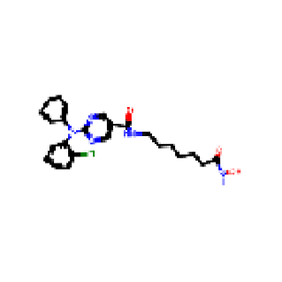 O=C(CCCCCCNC(=O)c1cnc(N(C2=CCCC=C2)c2ccccc2Cl)nc1)NO